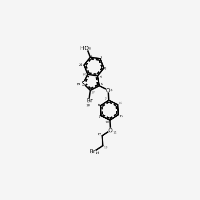 Oc1ccc2c(Oc3ccc(OCCBr)cc3)c(Br)sc2c1